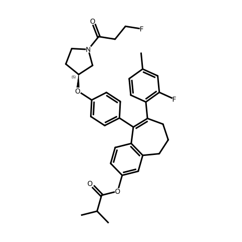 Cc1ccc(C2=C(c3ccc(O[C@H]4CCN(C(=O)CCF)C4)cc3)c3ccc(OC(=O)C(C)C)cc3CCC2)c(F)c1